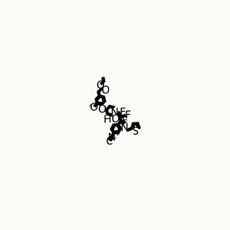 [C-]#[N+]c1ccc2c(C(O)(CN3CCC(Oc4ccc(CC(=O)OCC)cc4OC)CC3)C(F)(F)F)cn(Cc3cccs3)c2c1